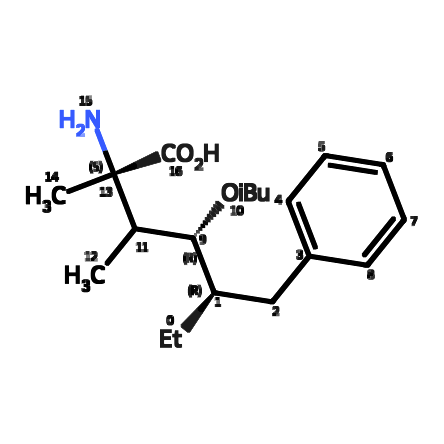 CC[C@H](Cc1ccccc1)[C@@H](OCC(C)C)C(C)[C@](C)(N)C(=O)O